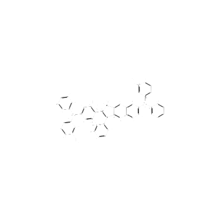 CC1(C)c2cc3cc(N(c4ccccc4)c4cccc(F)c4)ccc3cc2-c2c1c1ccc(N(c3ccccc3)c3cccc(F)c3)cc1c1ccccc21